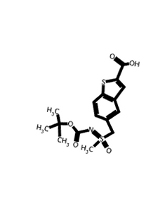 CC(C)(C)OC(=O)N=S(C)(=O)Cc1ccc2sc(C(=O)O)cc2c1